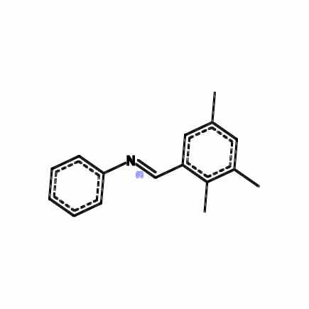 Cc1cc(C)c(C)c(/C=N/c2ccccc2)c1